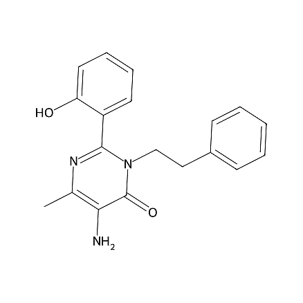 Cc1nc(-c2ccccc2O)n(CCc2ccccc2)c(=O)c1N